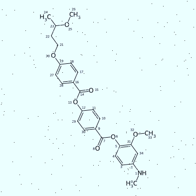 CNc1ccc(OC(=O)c2ccc(OC(=O)c3ccc(OCCC(C)OC)cc3)cc2)c(OC)c1